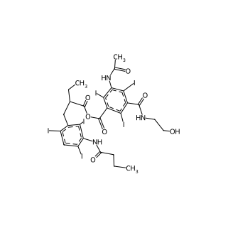 CCCC(=O)Nc1c(I)cc(I)c(CC(CC)C(=O)OC(=O)c2c(I)c(NC(C)=O)c(I)c(C(=O)NCCO)c2I)c1I